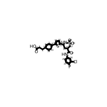 O=C(O)CCc1ccc(-c2ccc(C3CC(C(=O)Nc4ccc(F)c(Cl)c4)CS(=O)(=O)N3)s2)cc1